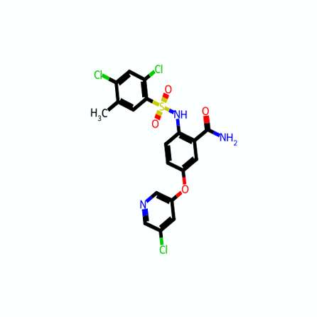 Cc1cc(S(=O)(=O)Nc2ccc(Oc3cncc(Cl)c3)cc2C(N)=O)c(Cl)cc1Cl